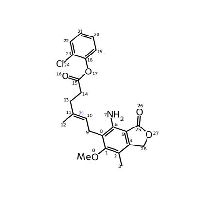 COc1c(C)c2c(c(N)c1C/C=C(\C)CCC(=O)Oc1ccccc1Cl)C(=O)OC2